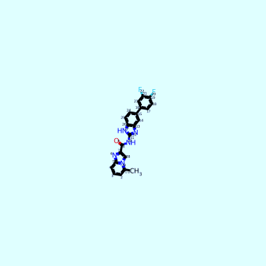 Cc1cccc2nc(C(=O)Nc3nc4cc(-c5ccc(F)c(F)c5)ccc4[nH]3)cn12